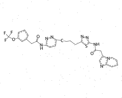 O=C(Cc1cccc(OC(F)(F)F)c1)Nc1ccc(CCCCc2nnc(NC(=O)Cc3cnc4ccccn34)s2)nn1